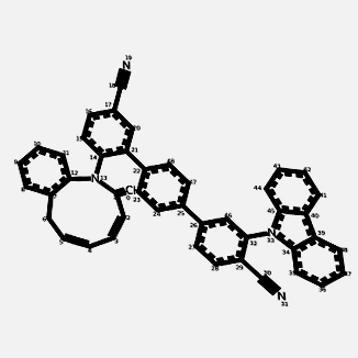 C=C1/C=C\C=C/Cc2ccccc2N1c1ccc(C#N)cc1-c1ccc(-c2ccc(C#N)c(-n3c4ccccc4c4ccccc43)c2)cc1